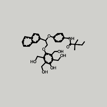 CCC(C)(C)C(=O)Nc1ccc(OC(COc2c(CO)c(CO)c(O)c(CO)c2CO)c2ccc3ccccc3c2)cc1